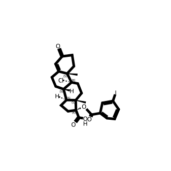 C[C@]12CCC(=O)C=C1CC[C@H]1[C@@H]3CC[C@](OC(=O)c4cccc(I)c4)(C(=O)O)[C@@]3(C)CC[C@@]12Cl